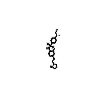 Cc1nc(OCC2CCCN2)ccc1NS(=O)(=O)c1ccc([C@@H](C)CF)cc1